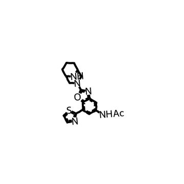 CC(=O)Nc1cc(-c2nccs2)c2oc(N3CC4CCCC(C3)N4)nc2c1